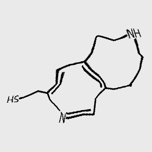 Sc1cc2c(cn1)CCNC2